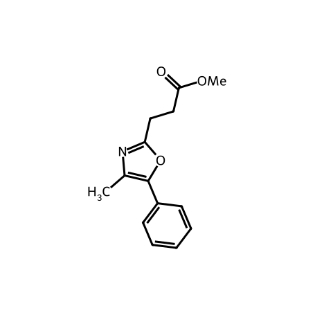 COC(=O)CCc1nc(C)c(-c2ccccc2)o1